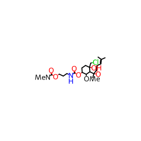 CNC(=O)OCCCNC(=O)OC1CCC(O)(CCl)C(C2(C)OC2CC=C(C)C)C1OC